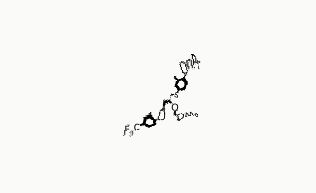 CCCOc1ccc(SC[C@@H](COc2ccc(C(F)(F)F)cc2)OCOC)cc1C